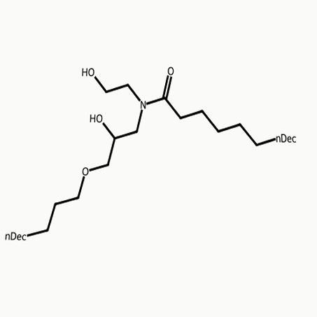 CCCCCCCCCCCCCCCC(=O)N(CCO)CC(O)COCCCCCCCCCCCCC